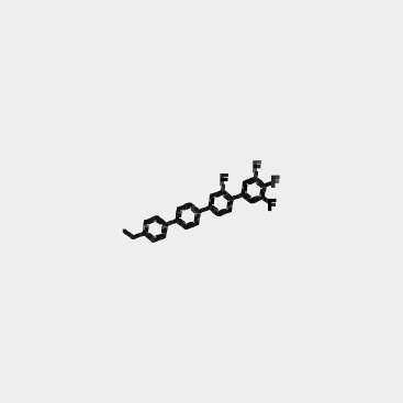 CCc1ccc(-c2ccc(-c3ccc(-c4cc(F)c(F)c(F)c4)c(F)c3)cc2)cc1